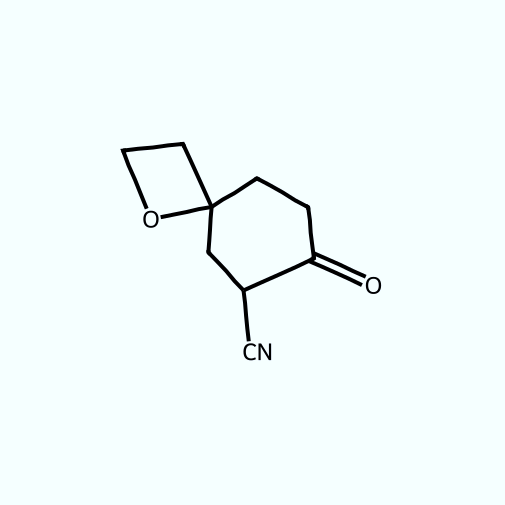 N#CC1CC2(CCO2)CCC1=O